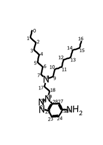 CCCCCCCCN(CCCCCCCC)CCn1nnc2ccc(N)cc21